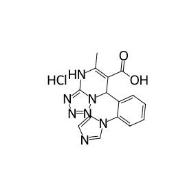 CC1=C(C(=O)O)C(c2ccccc2-n2ccnc2)n2nnnc2N1.Cl